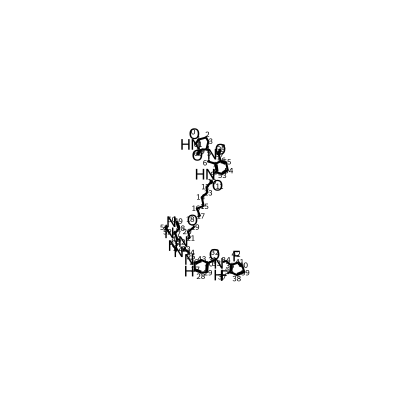 O=C1CCC(N2Cc3c(NC(=O)CCCCCCOCCCn4c(CNc5cccc(C(=O)NCc6c(F)cccc6F)c5)nnc4-c4ccncn4)cccc3C2=O)C(=O)N1